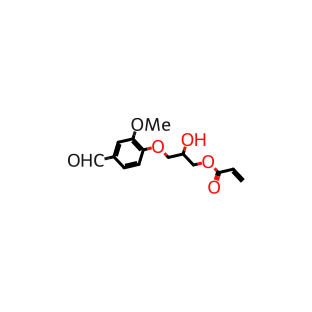 C=CC(=O)OCC(O)COc1ccc(C=O)cc1OC